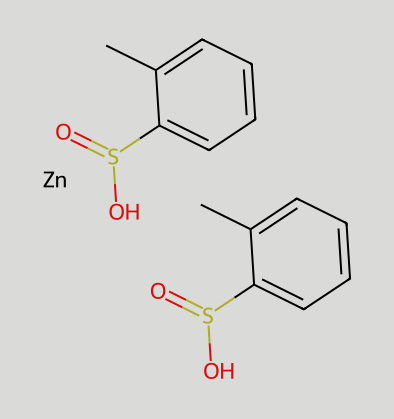 Cc1ccccc1S(=O)O.Cc1ccccc1S(=O)O.[Zn]